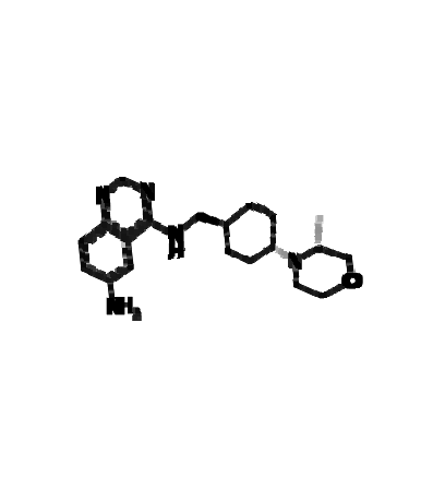 C[C@@H]1COCCN1[C@H]1CC[C@H](CNc2ncnc3ccc(N)cc23)CC1